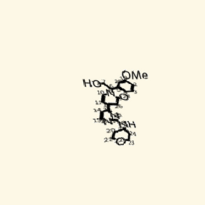 COc1cccc(C(CO)n2ccc(-c3ccnc(NC4CCOCC4)n3)cc2=O)c1